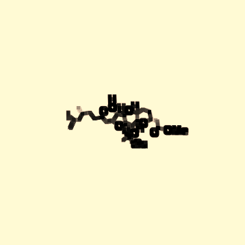 C=C(I)C[C@H](C)CCC(=O)/C=C1/O[C@H]2C(O[Si](C)(C)C(C)(C)C)[C@H]3O[C@@H](CC(=O)OC)CC[C@@H]3O[C@H]2[C@H]1O